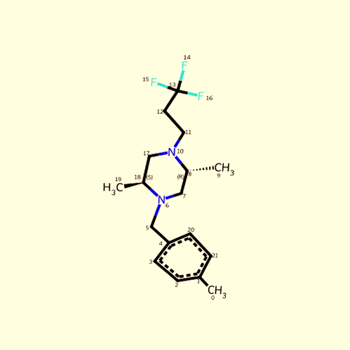 Cc1ccc(CN2C[C@@H](C)N(CCC(F)(F)F)C[C@@H]2C)cc1